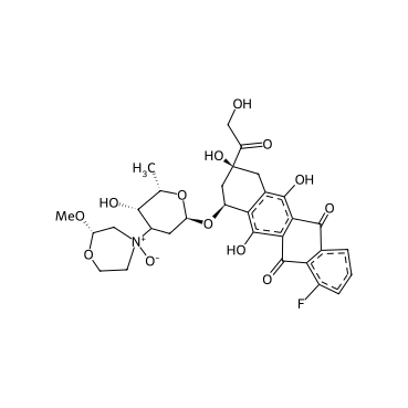 CO[C@@H]1C[N+]([O-])(C2C[C@H](O[C@H]3C[C@](O)(C(=O)CO)Cc4c(O)c5c(c(O)c43)C(=O)c3c(F)cccc3C5=O)O[C@@H](C)[C@H]2O)CCO1